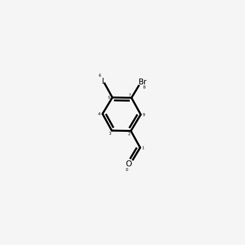 O=Cc1ccc(I)c(Br)c1